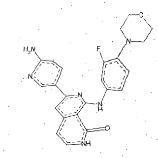 Nc1ccc(-c2cc3cc[nH]c(=O)c3c(Nc3ccc(N4CCOCC4)c(F)c3)n2)cn1